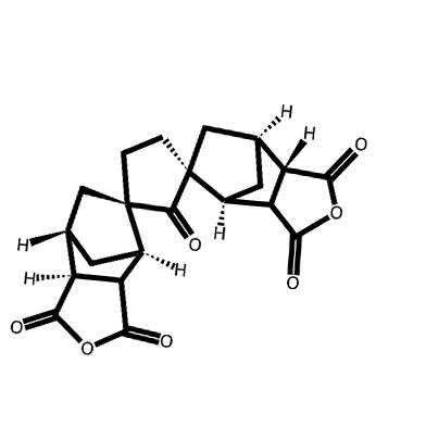 O=C1OC(=O)[C@@H]2C1[C@H]1C[C@H]2C[C@]12CC[C@@]1(C[C@@H]3C[C@H]1C1C(=O)OC(=O)[C@H]13)C2=O